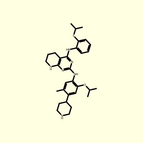 Cc1cc(Nc2nc3c(c(Nc4ccccc4SC(C)C)n2)CCCN3)c(OC(C)C)cc1C1CCNCC1